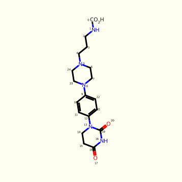 O=C(O)NCCCN1CCN(c2ccc(N3CCC(=O)NC3=O)cc2)CC1